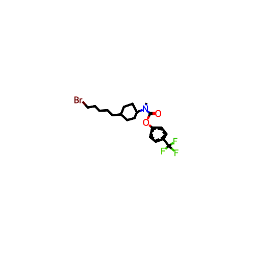 CN(C(=O)Oc1ccc(C(F)(F)F)cc1)C1CCC(CCCCCBr)CC1